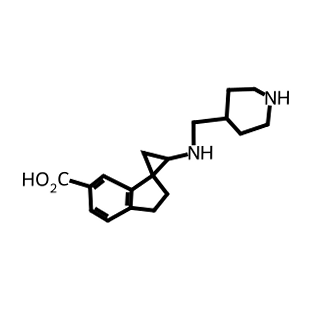 O=C(O)c1ccc2c(c1)C1(CC2)CC1NCC1CCNCC1